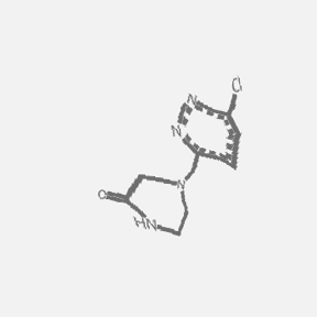 O=C1CN(c2ccc(Cl)nn2)CCN1